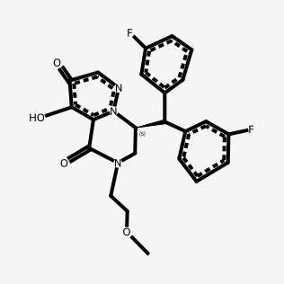 COCCN1C[C@H](C(c2cccc(F)c2)c2cccc(F)c2)n2ncc(=O)c(O)c2C1=O